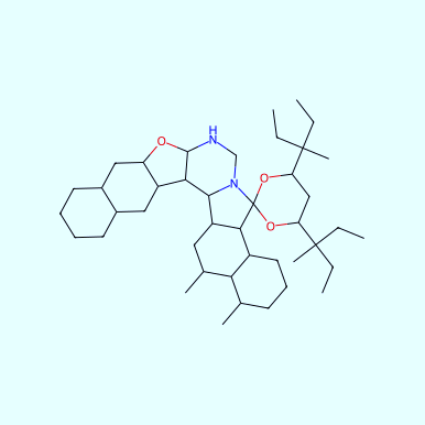 CCC(C)(CC)C1CC(C(C)(CC)CC)OC2(O1)C1C3CCCC(C)C3C(C)CC1C1C3C(NCN12)OC1CC2CCCCC2CC13